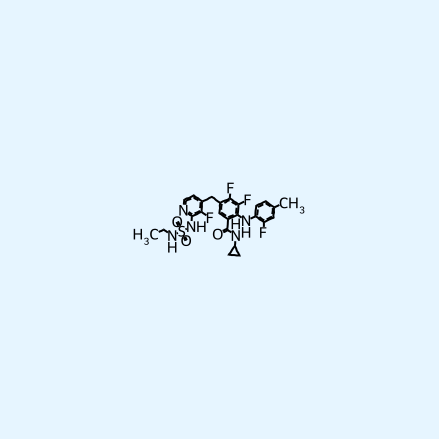 CCNS(=O)(=O)Nc1nccc(Cc2cc(C(=O)NC3CC3)c(Nc3ccc(C)cc3F)c(F)c2F)c1F